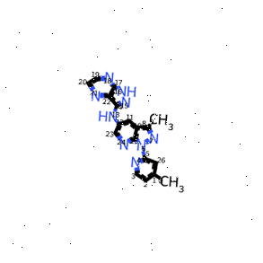 Cc1ccnc(-n2nc(C)c3cc(Nc4n[nH]c5nccnc45)cnc32)c1